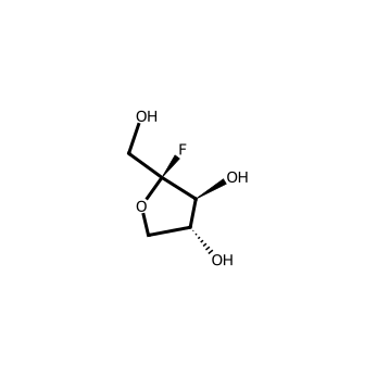 OC[C@@]1(F)OC[C@@H](O)[C@@H]1O